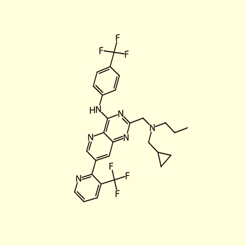 CCCN(Cc1nc(Nc2ccc(C(F)(F)F)cc2)c2ncc(-c3ncccc3C(F)(F)F)cc2n1)CC1CC1